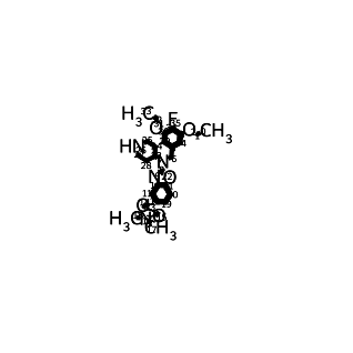 CCOc1cc(CN(c2nc3cc(S(=O)(=O)N(C)C)ccc3o2)C2CCNCC2)cc(OCC)c1F